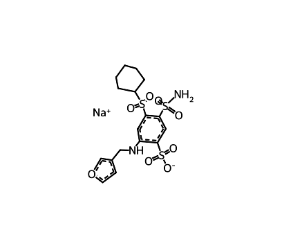 NS(=O)(=O)c1cc(S(=O)(=O)[O-])c(NCc2ccoc2)cc1S(=O)(=O)C1CCCCC1.[Na+]